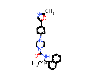 Cc1ncc(-c2ccc(N3CCN(C(=O)N[C@@H](C)c4cccc5ccccc45)CC3)cc2)o1